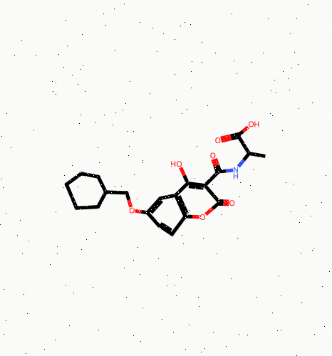 CC(NC(=O)c1c(O)c2cc(OCC3CCCCC3)ccc2oc1=O)C(=O)O